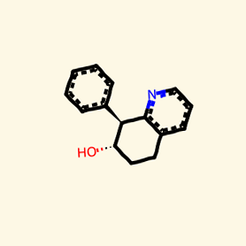 O[C@H]1CCc2cccnc2[C@@H]1c1ccccc1